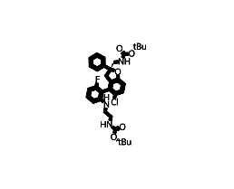 CC(C)(C)OC(=O)NCCNc1cccc(F)c1-c1c(Cl)ccc2c1C[C@@](CNC(=O)OC(C)(C)C)(c1ccccc1)O2